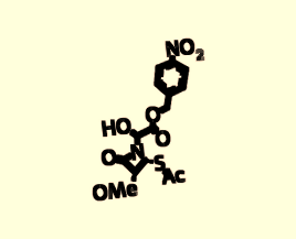 CO[C@H]1C(=O)N(C(O)C(=O)OCc2ccc([N+](=O)[O-])cc2)[C@@H]1SC(C)=O